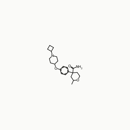 CC1CC(C(N)=O)(c2ccc(OC3CCN(C4CCC4)CC3)cc2)CCO1